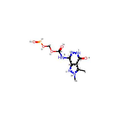 Cc1c2c(=O)[nH]nc(NC(=O)OCOP=O)c2nn1C